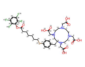 O=C(O)CN1CCN(CC(=O)O)CCN(CC(=O)O)[C@@H](Cc2ccc(SCCCCCCC(=O)Oc3c(F)c(F)cc(F)c3F)cc2)CN(CC(=O)O)CC1